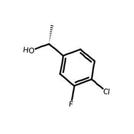 C[C@@H](O)c1ccc(Cl)c(F)c1